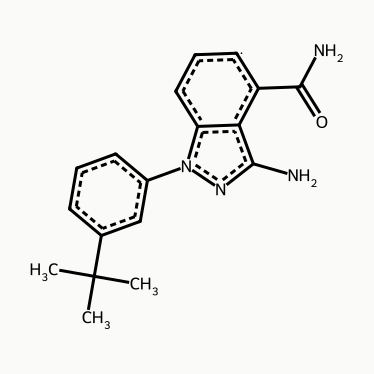 CC(C)(C)c1cccc(-n2nc(N)c3c(C(N)=O)[c]ccc32)c1